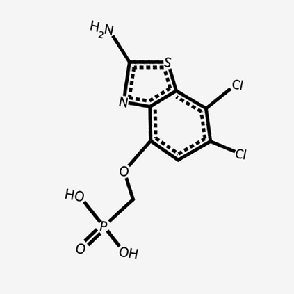 Nc1nc2c(OCP(=O)(O)O)cc(Cl)c(Cl)c2s1